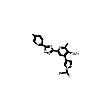 COc1c(-c2cnn(C(F)F)c2)cc(-c2noc(-c3ccc(F)cn3)n2)nc1C